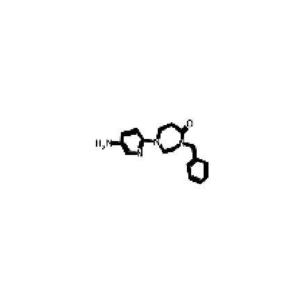 Nc1ccc(N2CCC(=O)N(Cc3ccccc3)CC2)nc1